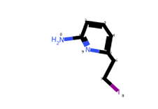 Nc1cccc(CCI)n1